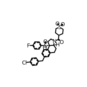 O=C(C1CCS(=O)(=O)CC1)N1CC[C@@]2(S(=O)(=O)c3ccc(F)cc3)c3ccc(Cc4ccc(Cl)cc4)cc3CC[C@@H]12